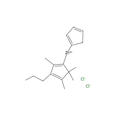 CCCC1=C(C)C(C)(C)[C]([Zr+2][C]2=CC=CC2)=C1C.[Cl-].[Cl-]